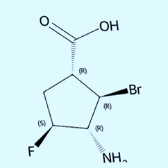 N[C@H]1[C@H](Br)[C@@H](C(=O)O)C[C@@H]1F